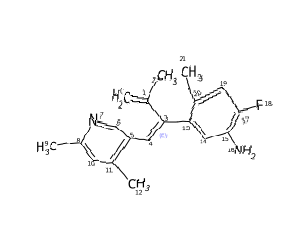 C=C(C)/C(=C\c1cnc(C)cc1C)c1cc(N)c(F)cc1C